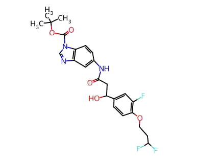 CC(C)(C)OC(=O)n1cnc2cc(NC(=O)CC(O)c3ccc(OCCC(F)F)c(F)c3)ccc21